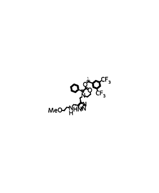 COCCNCc1[nH]nnc1CN1CCO[C@H](O[C@H](C)c2cc(C(F)(F)F)cc(C(F)(F)F)c2)[C@@H]1c1ccccc1